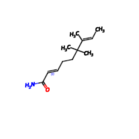 CC=C(C)C(C)(C)CC/C=C/C(N)=O